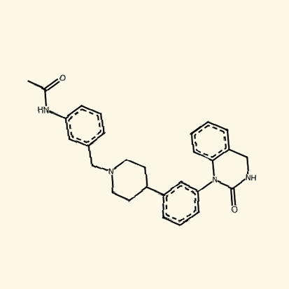 CC(=O)Nc1cccc(CN2CCC(c3cccc(N4C(=O)NCc5ccccc54)c3)CC2)c1